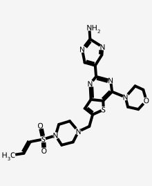 CC=CS(=O)(=O)N1CCN(Cc2cc3nc(-c4cnc(N)nc4)nc(N4CCOCC4)c3s2)CC1